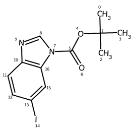 CC(C)(C)OC(=O)n1cnc2ccc(I)cc21